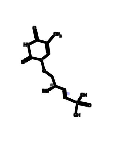 Cc1cn(OC[C@H](O)/C=C/P(=O)(O)O)c(=O)[nH]c1=O